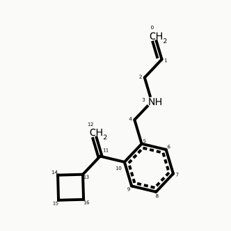 C=CCNCc1ccccc1C(=C)C1CCC1